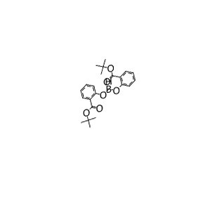 CC(C)(C)OC(=O)c1ccccc1OBOc1ccccc1C(=O)OC(C)(C)C